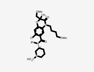 COCCCCN1C(=O)C(C)(COC)Oc2cc(Cl)c(C(=O)N(C(C)C)[C@@H]3CCCN(C(=O)O)C3)cc21